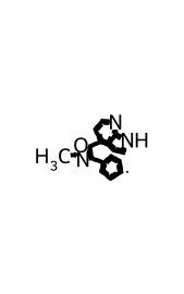 Cc1nc(-c2cc[c]cc2)c(-c2ccnc3[nH]ccc23)o1